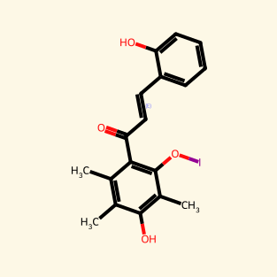 Cc1c(C)c(C(=O)/C=C/c2ccccc2O)c(OI)c(C)c1O